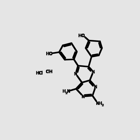 Cl.Cl.Nc1nc(N)c2nc(-c3cccc(O)c3)c(-c3cccc(O)c3)nc2n1